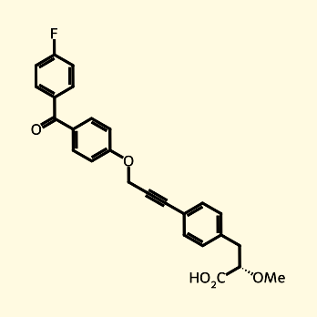 CO[C@@H](Cc1ccc(C#CCOc2ccc(C(=O)c3ccc(F)cc3)cc2)cc1)C(=O)O